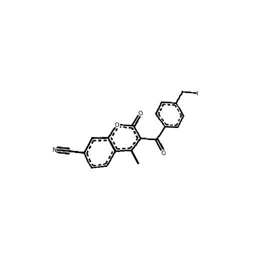 Cc1c(C(=O)c2ccc(CI)cc2)c(=O)oc2cc(C#N)ccc12